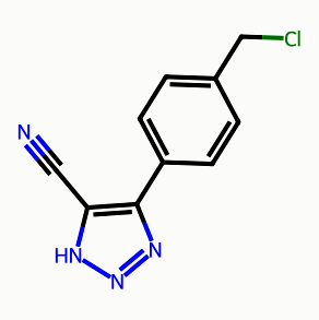 N#Cc1[nH]nnc1-c1ccc(CCl)cc1